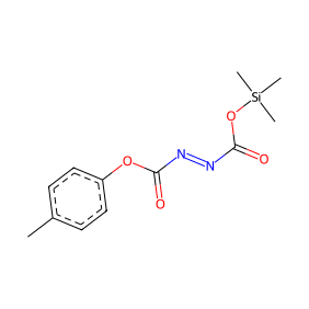 Cc1ccc(OC(=O)N=NC(=O)O[Si](C)(C)C)cc1